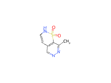 Cc1nncc2c1S(=O)(=O)NC=C2